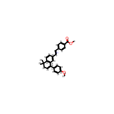 COC(=O)c1ccc(/C=C/c2ccc3c(c2)C(c2ccc(OC)cc2)=CCC3(C)C)cc1